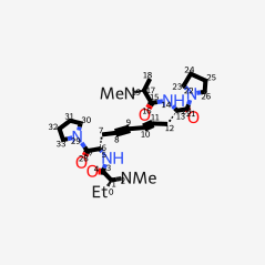 CC[C@H](NC)C(=O)N[C@@H](CC#CC#CC[C@H](NC(=O)[C@H](C)NC)C(=O)N1CCCC1)C(=O)N1CCCC1